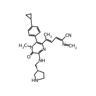 C=N/C(C#N)=C\C=C(/C)c1nc(NC[C@H]2CCNC2)c(=O)n(C)c1-c1ccc(C2CC2)cc1